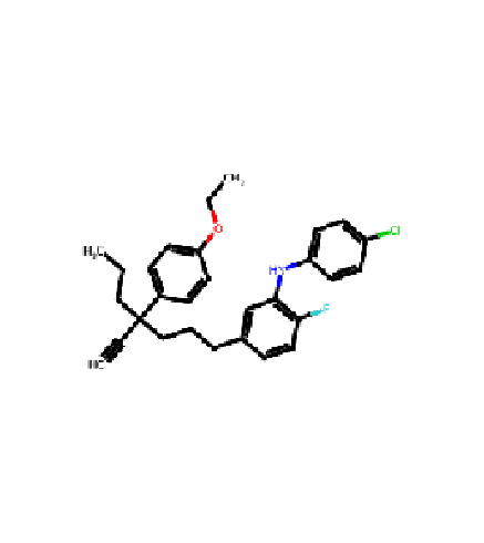 C#CC(CCC)(CCCc1ccc(F)c(Nc2ccc(Cl)cc2)c1)c1ccc(OCC)cc1